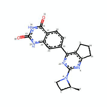 C[C@H]1CCN1c1nc2c(c(-c3ccc4c(=O)[nH]c(=O)[nH]c4c3)n1)CCC2